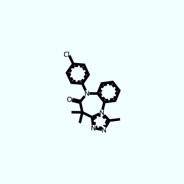 Cc1nnc2n1-c1ccccc1N(c1ccc(Cl)cc1)C(=O)C2(C)C